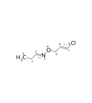 CC/[C]=N/OC/C=C/Cl